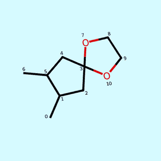 CC1CC2(CC1C)OCCO2